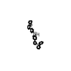 c1cc(-c2ccc(Nc3ccc(-c4cccc5c4oc4ccccc45)cc3)cc2)cc(-n2c3ccccc3c3ccccc32)c1